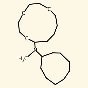 CN(C1CCCCCCCCCCC1)C1CCCCCCCC1